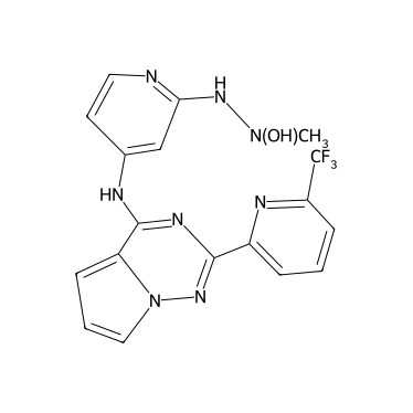 CN(O)Nc1cc(Nc2nc(-c3cccc(C(F)(F)F)n3)nn3cccc23)ccn1